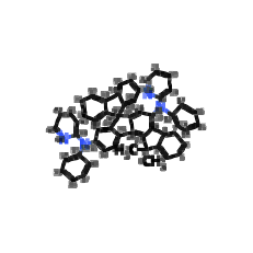 CC1(C)c2ccccc2-c2c(N(c3ccccc3)c3ccccn3)cc3c(c21)-c1ccc(N(c2ccccc2)c2ccccn2)cc1C31c2ccccc2-c2ccccc21